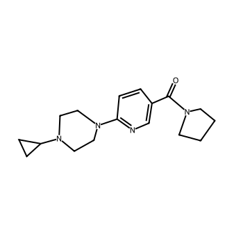 O=C(c1ccc(N2CCN(C3CC3)CC2)nc1)N1CCCC1